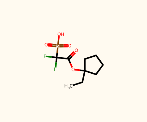 CCC1(OC(=O)C(F)(F)S(=O)(=O)O)CCCC1